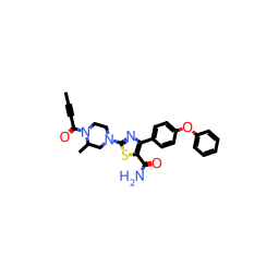 CC#CC(=O)N1CCN(c2nc(-c3ccc(Oc4ccccc4)cc3)c(C(N)=O)s2)CC1C